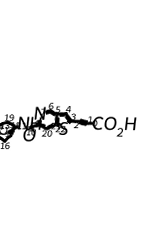 O=C(O)C#Cc1cc2cnc(C(=O)NC3CC4CCC3CC4)cc2s1